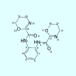 O=C(Nc1ccccc1NC(=O)C1=NCCCO1)C1=NCCCO1